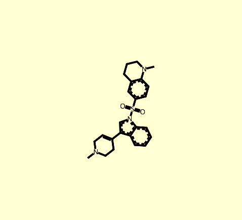 CN1CC=C(c2cn(S(=O)(=O)c3ccc4c(c3)CCCN4C)c3ccccc23)CC1